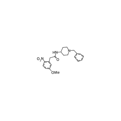 COc1ccc([N+](=O)[O-])c(CC(=O)NC2CCN(Cc3ccccc3)CC2)c1